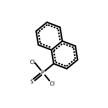 S=P(Cl)(Cl)c1cccc2ccccc12